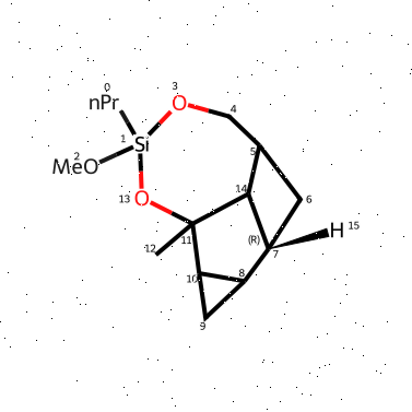 CCC[Si]1(OC)OCC2C[C@@H]3C4CC4C(C)(O1)C23